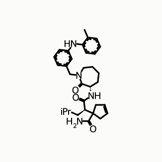 Cc1ccccc1Nc1cccc(CN2CCCC[C@H](NC(=O)[C@H](CC(C)C)C3(C(N)=O)CC=CC3)C2=O)c1